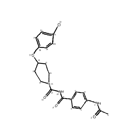 CC(=O)Nc1ccc(C(=O)NC(=O)N2CCC(Oc3ccc(Cl)cc3)CC2)cc1